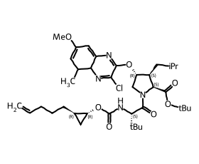 C=CCCC[C@@H]1C[C@H]1OC(=O)N[C@H](C(=O)N1C[C@H](OC2=NC3=CC(OC)=CC(C)C3N=C2Cl)[C@@H](CC(C)C)[C@H]1C(=O)OC(C)(C)C)C(C)(C)C